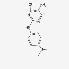 CN(C)c1ccc(Nc2ncc(N)c(O)n2)cc1